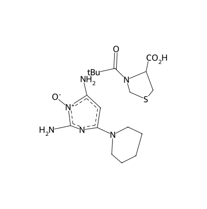 CC(C)(C)C(=O)N1CSCC1C(=O)O.Nc1cc(N2CCCCC2)nc(N)[n+]1[O-]